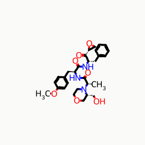 COc1ccc(C[C@H](NC(=O)[C@H](C)N2CCOC[C@H]2CO)C(=O)N[C@@H](Cc2ccccc2)C(=O)[C@H]2CO2)cc1